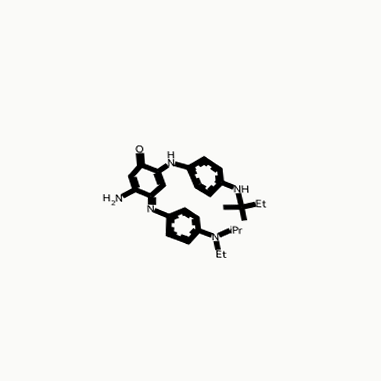 CCN(c1ccc(N=C2C=C(Nc3ccc(NC(C)(C)CC)cc3)C(=O)C=C2N)cc1)C(C)C